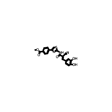 COC(=O)c1ccc(-c2csc(NC(=O)C(C#N)=Cc3ccc(O)c(O)c3)n2)cc1